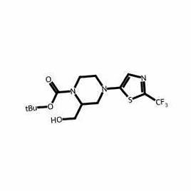 CC(C)(C)OC(=O)N1CCN(c2cnc(C(F)(F)F)s2)CC1CO